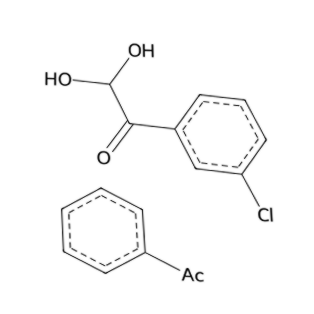 CC(=O)c1ccccc1.O=C(c1cccc(Cl)c1)C(O)O